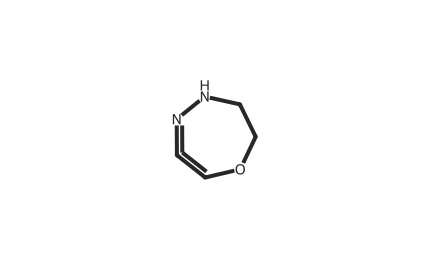 C1=COCCNN=1